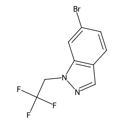 FC(F)(F)Cn1ncc2ccc(Br)cc21